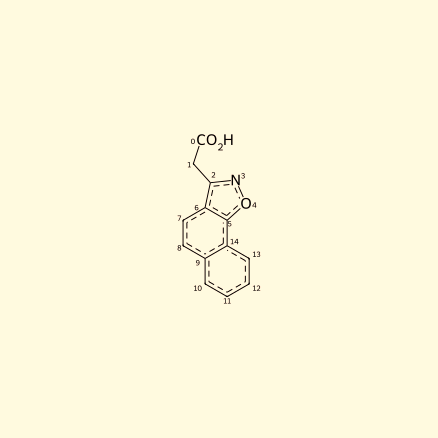 O=C(O)Cc1noc2c1ccc1ccccc12